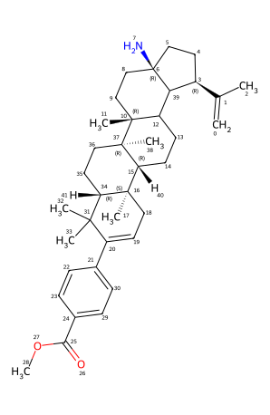 C=C(C)[C@@H]1CC[C@@]2(N)CC[C@]3(C)C(CC[C@@H]4[C@@]5(C)CC=C(c6ccc(C(=O)OC)cc6)C(C)(C)[C@@H]5CC[C@]43C)C12